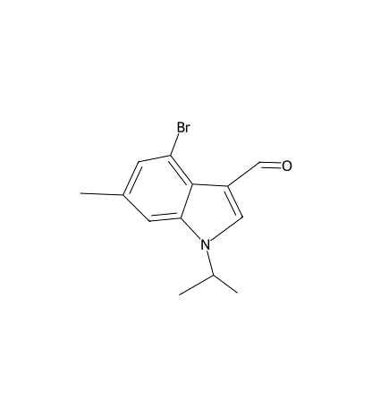 Cc1cc(Br)c2c(C=O)cn(C(C)C)c2c1